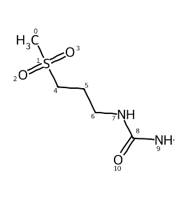 CS(=O)(=O)CCCNC([NH])=O